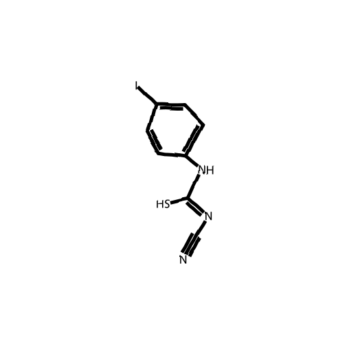 N#C/N=C(\S)Nc1ccc(I)cc1